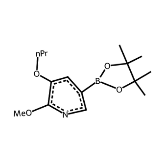 CCCOc1cc(B2OC(C)(C)C(C)(C)O2)cnc1OC